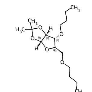 CCCCOC[C@H]1O[C@@H]2OC(C)(C)O[C@@H]2[C@@H]1OCCCC